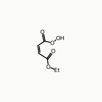 CCOC(=O)/C=C\C(=O)OO